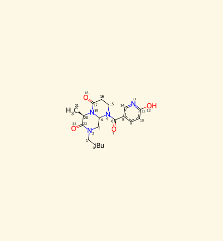 CCC(C)CN1CC2N(C(=O)c3ccc(O)nc3)CCC(=O)N2[C@H](C)C1=O